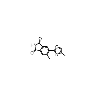 Cc1coc(-c2cc3c([c]c2C)C(=O)NC3=O)n1